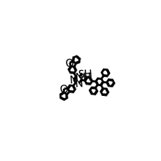 SN/C(=N\C(=N/Cc1ccc(C2=C(c3ccccc3)C(c3ccccc3)=C(c3ccccc3)C(C3=CC=CCC3)C2)cc1)c1ccc2c(c1)oc1ccccc12)c1ccc2oc3ccccc3c2c1